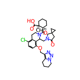 C[C@]1(C(=O)O)CCCC[C@H]1C(=O)N1CCc2c(Cl)ccc(OCc3nnn4c3CCCC4)c2C1CN1CC2(CC2)CC1=O